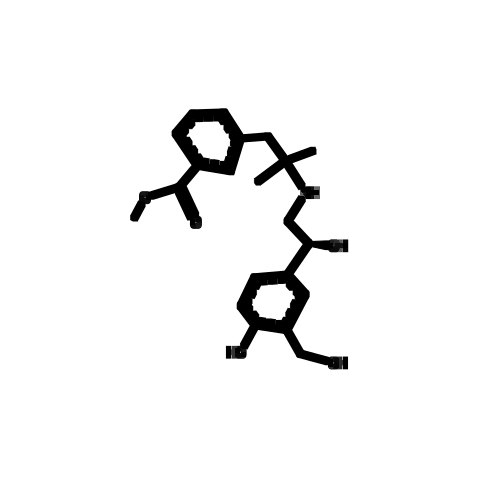 COC(=O)c1cccc(CC(C)(C)NC[C@@H](O)c2ccc(O)c(CO)c2)c1